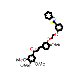 COc1ccc(/C=C/C(=O)c2cc(OC)c(OC)c(OC)c2)cc1OCCOc1cccc(-c2nc3ccccc3s2)c1